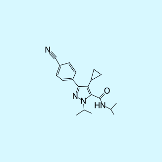 CC(C)NC(=O)c1c(C2CC2)c(-c2ccc(C#N)cc2)nn1C(C)C